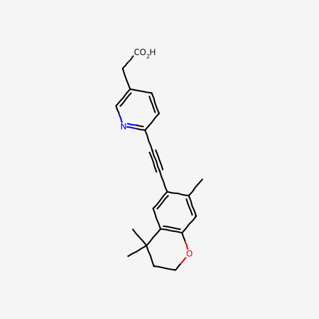 Cc1cc2c(cc1C#Cc1ccc(CC(=O)O)cn1)C(C)(C)CCO2